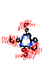 OCC1O[C@@H](Oc2cccc(-c3c4nc(c(-c5cccc(O[C@@H]6OC(CO)[C@H](O)C(O)C6O)c5)c5ccc([nH]5)c(-c5cccc(O[C@@H]6OC(CO)[C@H](O)C(O)C6O)c5)c5nc(c(-c6cccc(OC7O[C@H](CO)C(O)C(O)[C@H]7O)c6)c6ccc3[nH]6)C=C5)C=C4)c2)C(O)C(O)[C@H]1O